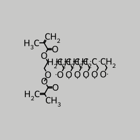 C=C(C)C(=O)OCCOOC(=O)C(=C)C.[CH2]C[O].[CH2]C[O].[CH2]C[O].[CH2]C[O].[CH2]C[O].[CH2]C[O]